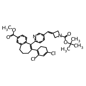 COC(=O)c1ccc2c(c1)CCCC(C1=C(Cl)C=C(Cl)CC1)=C2c1ccc(C=C2CN(C(=O)OC(C)(C)C)C2)cn1